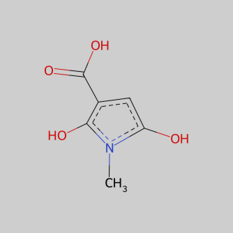 Cn1c(O)cc(C(=O)O)c1O